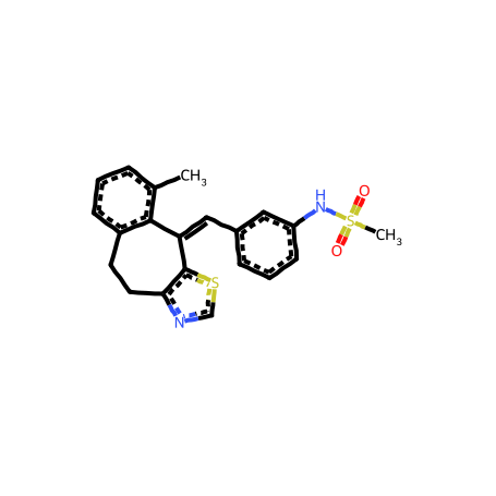 Cc1cccc2c1/C(=C/c1cccc(NS(C)(=O)=O)c1)c1scnc1CC2